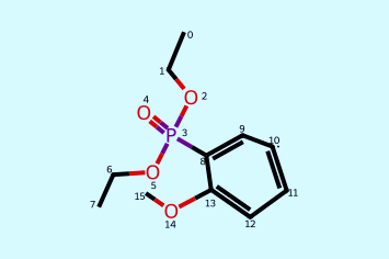 CCOP(=O)(OCC)c1c[c]ccc1OC